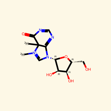 [2H][N+]1=CN([C@@H]2O[C@H](CO)[C@@H](O)[C@H]2O)C2=NC=NC(=O)C21[2H]